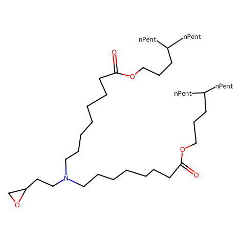 CCCCCC(CCCCC)CCCOC(=O)CCCCCCCN(CCCCCCCC(=O)OCCCC(CCCCC)CCCCC)CCC1CO1